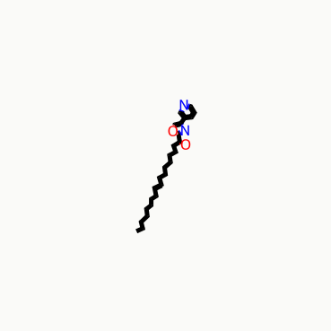 CCCCCCCCC=CCCCCCCCC(=O)c1nc(-c2cccnc2)co1